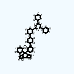 c1ccc(-c2cc(-c3ccccc3)nc(-c3cccc(-c4ccc(-c5cccc6c5Oc5ccccc5C65c6ccccc6-c6ccccc65)cc4)c3)n2)cc1